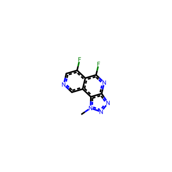 Cn1nnc2nc(F)c3c(F)cncc3c21